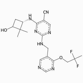 CC(F)(F)COc1ncncc1CNc1ncc(C#N)c(N[C@H]2CC(O)C2(C)C)n1